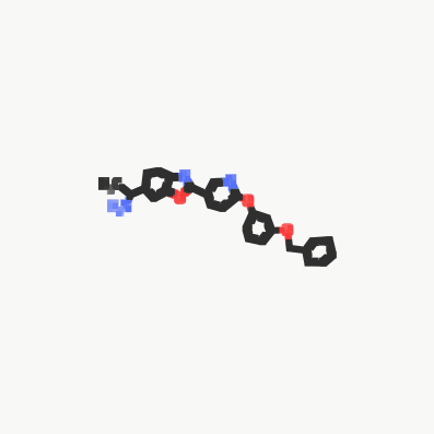 CC(N)c1ccc2nc(-c3ccc(Oc4cccc(OCc5ccccc5)c4)nc3)oc2c1